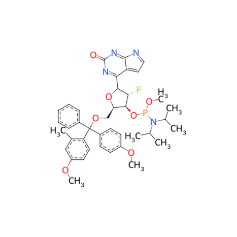 COc1ccc(C(OC[C@H]2OC(C3=NC(=O)N=C4N=CC=C43)[C@H](F)[C@H]2OP(OC)N(C(C)C)C(C)C)(c2ccccc2)c2ccc(OC)cc2C)cc1